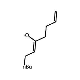 C=CCC/C([O])=C/CCCCC